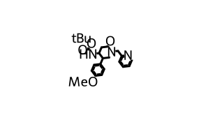 COc1ccc(C2CN(Cc3ccccn3)C(=O)CC2NC(=O)OC(C)(C)C)cc1